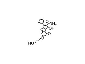 COc1cc(OCCCCO)cc2c1C1C(O)C(C(N)=O)[C@@H](c3ccccc3)C1O2